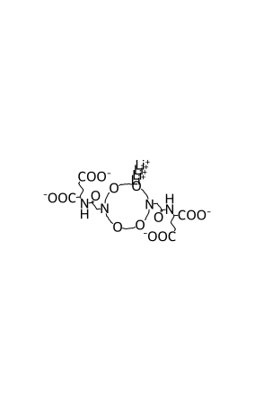 O=C([O-])CCC(NC(=O)CN1CCOCCOCCN(CC(=O)NC(CCC(=O)[O-])C(=O)[O-])CCOCCOCC1)C(=O)[O-].[Li+].[Li+].[Li+].[Li+]